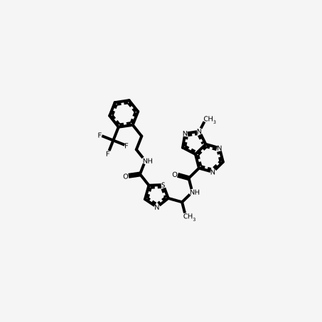 CC(NC(=O)c1ncnc2c1cnn2C)c1ncc(C(=O)NCCc2ccccc2C(F)(F)F)s1